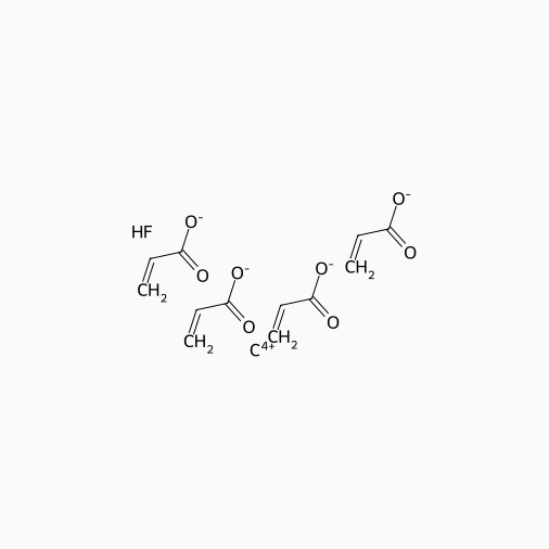 C=CC(=O)[O-].C=CC(=O)[O-].C=CC(=O)[O-].C=CC(=O)[O-].F.[C+4]